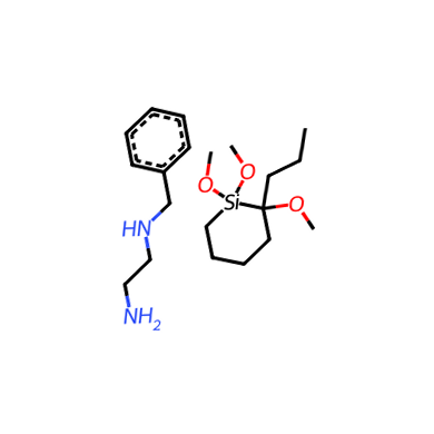 CCCC1(OC)CCCC[Si]1(OC)OC.NCCNCc1ccccc1